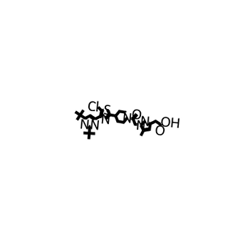 Cc1cc(CC(=O)O)nn1CC(=O)N1CCC(c2nc(-c3cc(C(C)(C)C)nc(C(C)(C)C)n3)c(Cl)s2)CC1